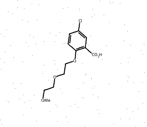 COCCOCCOc1ccc(Cl)cc1C(=O)O